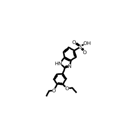 CCOc1ccc(-c2nc3cc(S(=O)(=O)O)ccc3[nH]2)cc1OCC